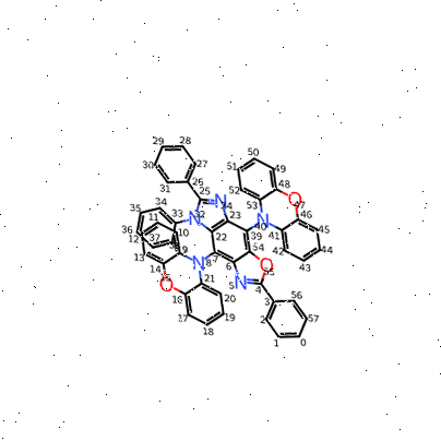 c1ccc(-c2nc3c(N4c5ccccc5Oc5ccccc54)c4c(nc(-c5ccccc5)n4-c4ccccc4)c(N4c5ccccc5Oc5ccccc54)c3o2)cc1